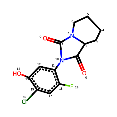 O=C1C2CCCCN2C(=O)N1c1cc(O)c(Cl)cc1F